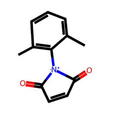 Cc1cccc(C)c1[N+]1C(=O)C=CC1=O